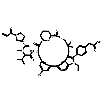 C=CC(=O)N1CC[C@H](C(=O)N(C)C(C(=O)N[C@H]2Cc3cc(O)cc(c3)-c3ccc4c(c3)c(c(-c3ccc(CC(=O)O)cc3)n4CC)CC(C)(C)COC(=O)[C@@H]3CCCN(N3)C2=O)C(C)C)C1